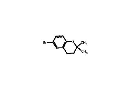 CC1(C)CCc2cc(Br)ccc2S1